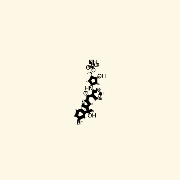 CC(O)(c1cccc(Br)c1)c1csc(C(=O)c2cncnc2N[C@@H]2C[C@H](COS(N)(=O)=O)[C@@H](O)C2)c1